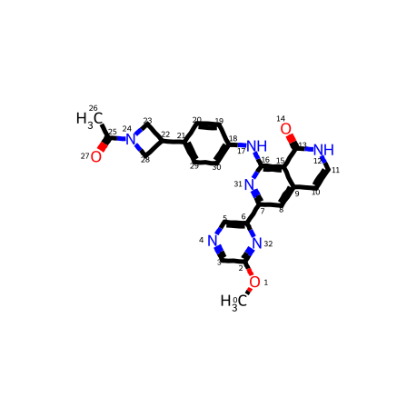 COc1cncc(-c2cc3cc[nH]c(=O)c3c(Nc3ccc(C4CN(C(C)=O)C4)cc3)n2)n1